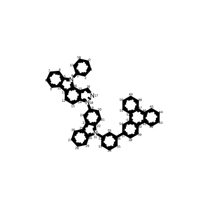 c1ccc(-n2c3ccccc3c3ccc4c(cnn4-c4ccc5c(c4)c4ccccc4n5-c4cccc(-c5ccc6c7ccccc7c7ccccc7c6c5)c4)c32)cc1